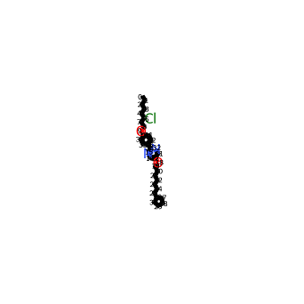 CCCCCC(Cl)CCOc1ccc(-c2ncc(OCCCCCCCC3CCCC3)cn2)cc1